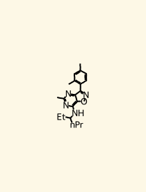 CCCC(CC)Nc1nc(C)nc2c(-c3ccc(C)cc3C)noc12